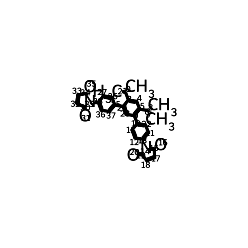 CC(C)c1cc(C(C)C)c(-c2ccc(N3C(=O)C=CC3=O)cc2)cc1-c1ccc(N2C(=O)C=CC2=O)cc1